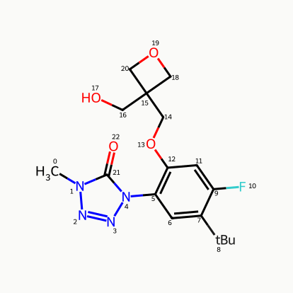 Cn1nnn(-c2cc(C(C)(C)C)c(F)cc2OCC2(CO)COC2)c1=O